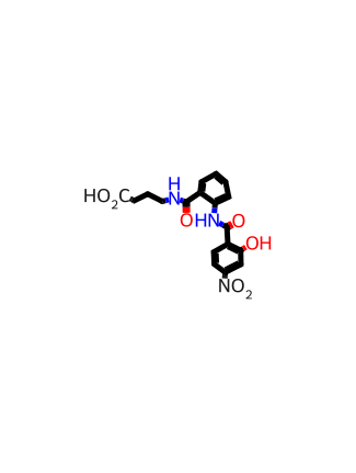 O=C(O)CCCNC(=O)c1ccccc1NC(=O)c1ccc([N+](=O)[O-])cc1O